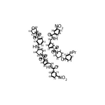 CCCc1cccc(OC2CCN(S(=O)(=O)c3ccc(CNC(=O)c4cccc([N+](=O)[O-])c4)s3)CC2)c1.O=C(NCc1ccc(S(=O)(=O)N2CCC(Nc3cccc(S(=O)(=O)N4CCOCC4)c3)CC2)s1)c1cccc([N+](=O)[O-])c1